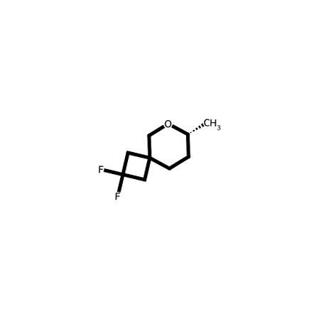 C[C@@H]1CCC2(CO1)CC(F)(F)C2